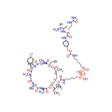 C/C=C(\C)[C@H]1OC(=O)[C@@H](C)NC(=O)[C@H](C(C)CC)NC(=O)CN(C)C(=O)[C@@H](Cc2ccc(Cl)cc2)N(C)C(=O)[C@H](C)NC(=O)[C@@H](CC(C)C)OC(=O)/C(C)=C/C[C@H](OC(=O)NCCCCCOP(=O)(O)OP(=O)(O)OCCCCCNC(=O)OCc2ccc(NC(=O)[C@@H](CCCNC(N)=O)NC(=O)[C@H](N)C(C)C)cc2)[C@@H]1C